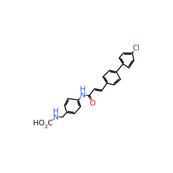 O=C(O)NCc1ccc(NC(=O)/C=C/c2ccc(-c3ccc(Cl)cc3)cc2)cc1